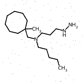 CCCCCN(CCCNN)CC1(C)CCCCCCC1